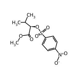 COC(=O)[C@H](OS(=O)(=O)c1ccc([N+](=O)[O-])cc1)C(C)C